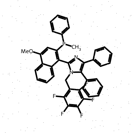 COc1cc(P(C)c2ccccc2)c(-c2nc(-c3ccccc3)c(-c3ccccc3)n2Cc2c(F)c(F)c(F)c(F)c2F)c2ccccc12